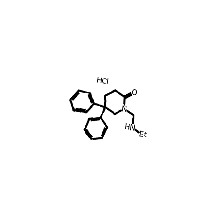 CCNCN1CC(c2ccccc2)(c2ccccc2)CCC1=O.Cl